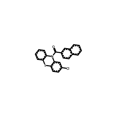 O=C(c1ccc2ccccc2c1)N1c2ccccc2Sc2ccc(Cl)cc21